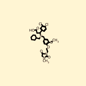 COc1cc(CN(CC2CCCCC2)C(CC(=O)O)c2ccc(Cl)c(Cl)c2)ccc1OCCN1C(=O)CN(C)C1=O